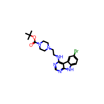 CC(C)(C)OC(=O)N1CCN(CCNc2ncnc3[nH]c4ccc(Br)cc4c23)CC1